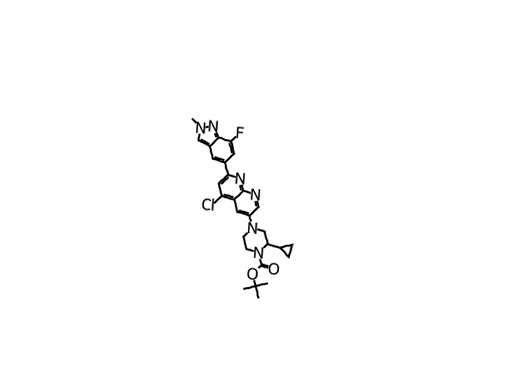 Cn1cc2cc(-c3cc(Cl)c4cc(N5CCN(C(=O)OC(C)(C)C)C(C6CC6)C5)cnc4n3)cc(F)c2n1